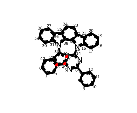 c1ccc(-c2nc(-c3ccccc3)nc(-n3c4ccccc4c4ccc5c6ccccc6n(-c6cccs6)c5c43)n2)cc1